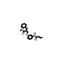 CCCC(=O)Nc1cccc(OCC(CC2CCCCC2)C(=O)NC)c1